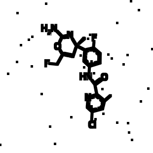 Cc1cc(Cl)cnc1C(=O)Nc1ccc(F)c([C@]2(C)C=C(CF)OC(N)=N2)c1